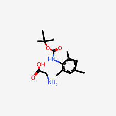 Cc1cc(C)c(NC(=O)OC(C)(C)C)c(C)c1.NCC(=O)O